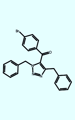 O=C(c1ccc(Br)cc1)c1c(Cc2ccccc2)nnn1Cc1ccccc1